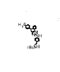 CCCCNCCc1ccc(Nc2ncc3c(n2)-c2ccccc2C(c2ccc(C)cc2)C3)cc1